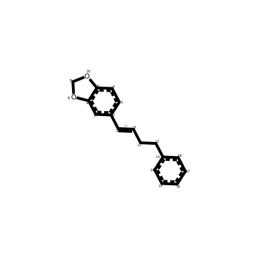 C(=C\c1ccc2c(c1)OCO2)/CCc1ccccc1